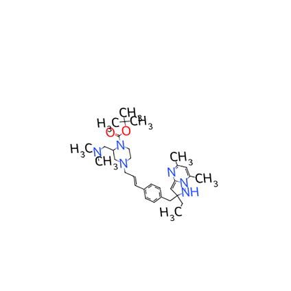 CCC1(Cc2ccc(C=CCN3CCN(C(=O)OC(C)(C)C)C(CN(C)C)C3)cc2)C=C2N=C(C)C=C(C)N2N1